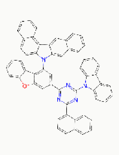 c1ccc2cc3c(cc2c1)c1c2ccccc2ccc1n3-c1cc(-c2nc(-c3cccc4ccccc34)nc(-n3c4ccccc4c4ccccc43)n2)cc2oc3ccccc3c12